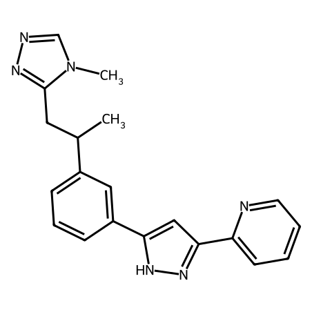 CC(Cc1nncn1C)c1cccc(-c2cc(-c3ccccn3)n[nH]2)c1